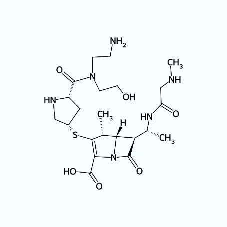 CNCC(=O)N[C@H](C)[C@H]1C(=O)N2C(C(=O)O)=C(S[C@@H]3CN[C@H](C(=O)N(CCN)CCO)C3)[C@H](C)[C@H]12